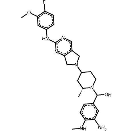 CNc1ccc(C(O)N2CCC(N3Cc4cnc(Nc5ccc(F)c(OC)c5)nc4C3)C[C@H]2C)cc1N